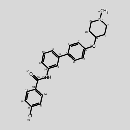 CN1CCC(Oc2ccc(-c3cccc(NC(=O)c4ccc(Cl)cc4)c3)cc2)CC1